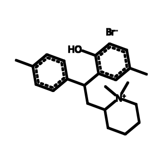 Cc1ccc(C(CC2CCCC[N+]2(C)C)c2cc(C)ccc2O)cc1.[Br-]